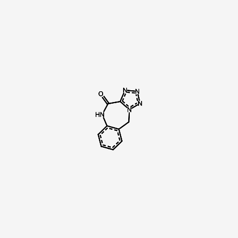 O=C1Nc2ccccc2Cn2nnnc21